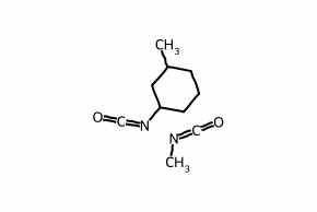 CC1CCCC(N=C=O)C1.CN=C=O